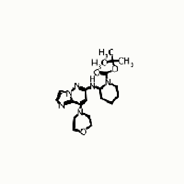 CC(C)(C)OC(=O)N1CCCCC1Nc1cc(N2CCOCC2)c2nccn2n1